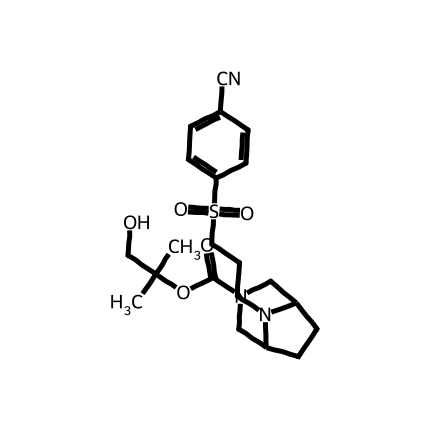 CC(C)(CO)OC(=O)N1CC2CCC(C1)N2CCCS(=O)(=O)c1ccc(C#N)cc1